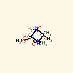 CCC1=C(C)c2cc3[nH]c(cc4nc(c5c6[nH]c(cc1n2)c(C)c6C(=O)C5)[C@@H](CCCC(=O)OC)C4C)c(C)c3C=O